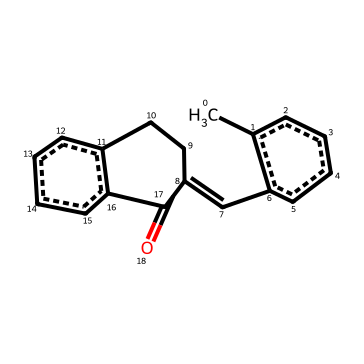 Cc1ccccc1/C=C1\CCc2ccccc2C1=O